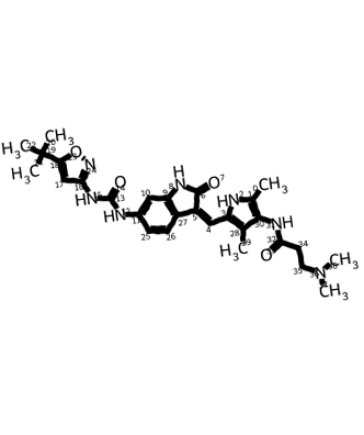 Cc1[nH]c(C=C2C(=O)Nc3cc(NC(=O)Nc4cc(C(C)(C)C)on4)ccc32)c(C)c1NC(=O)CCN(C)C